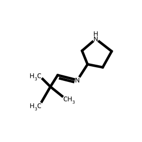 CC(C)(C)C=NC1CCNC1